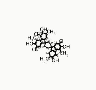 Cc1cc(C2(c3cc(C)c(O)c(Cl)c3)CCC(c3cc(C)c(O)c(Cl)c3)(c3cc(C)c(O)c(Cl)c3)CC2)cc(Cl)c1O